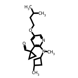 CC(C)CCOc1cnc(N(C)C2CC(C)C2)c(C2(C=O)CC2)c1